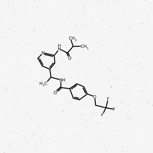 CC(C)C(=O)Nc1cc(C(C)NC(=O)c2ccc(OCC(F)(F)F)cc2)ccn1